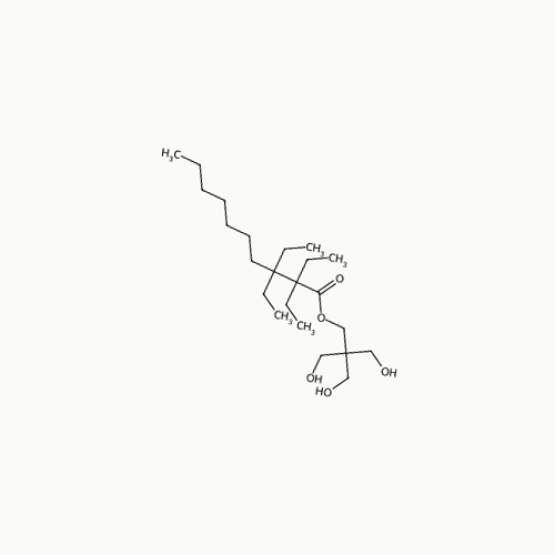 CCCCCCCC(CC)(CC)C(CC)(CC)C(=O)OCC(CO)(CO)CO